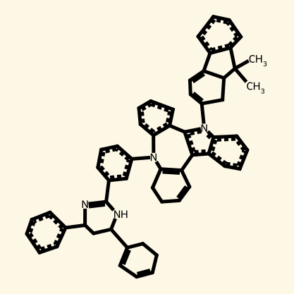 CC1(C)c2ccccc2C2=CC=C(n3c4c(c5ccccc53)C3=C(CCC=C3)N(c3cccc(C5=NC(c6ccccc6)CC(C6=CC=CCC6)N5)c3)c3ccccc3-4)CC21